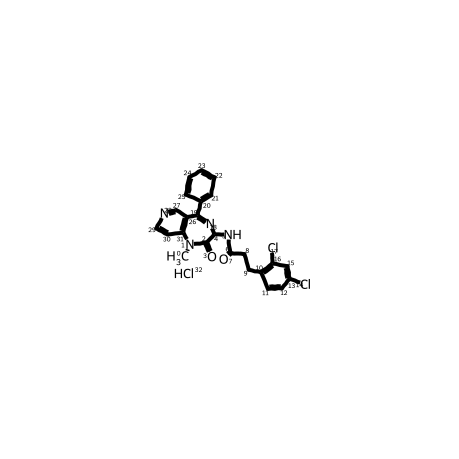 CN1C(=O)C(NC(=O)CCc2ccc(Cl)cc2Cl)N=C(c2ccccc2)c2cnccc21.Cl